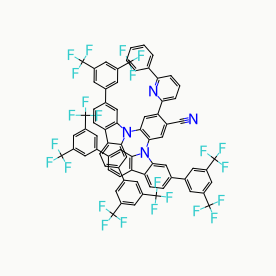 N#Cc1cc(-n2c3cc(-c4cc(C(F)(F)F)cc(C(F)(F)F)c4)ccc3c3ccc(-c4cc(C(F)(F)F)cc(C(F)(F)F)c4)cc32)c(-n2c3cc(-c4cc(C(F)(F)F)cc(C(F)(F)F)c4)ccc3c3ccc(-c4cc(C(F)(F)F)cc(C(F)(F)F)c4)cc32)cc1-c1cccc(-c2ccccc2)n1